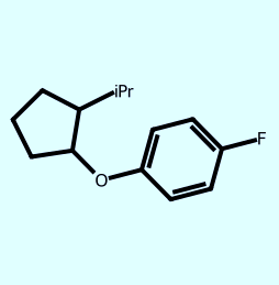 CC(C)C1CCCC1Oc1ccc(F)cc1